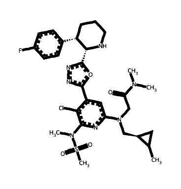 CC1C[C@@H]1CN(CC(=O)N(C)C)c1cc(-c2nnc([C@H]3NCCC[C@H]3c3ccc(F)cc3)o2)c(Cl)c(N(C)S(C)(=O)=O)n1